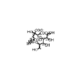 O=C([O-])CC(O)(CC(=O)[O-])C(=O)[O-].OCC(O)C(O)C(O)C(O)CO.[Na+].[Na+].[Na+]